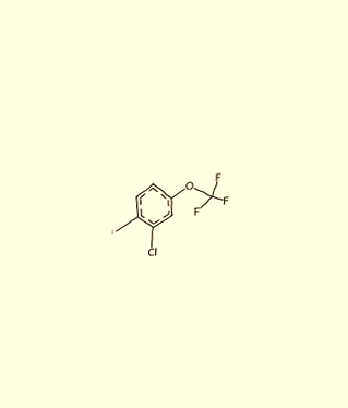 [CH]c1ccc(OC(F)(F)F)cc1Cl